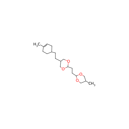 CC1=CCC(CCC2COC(CCC3OCC(C)CO3)OC2)CC1